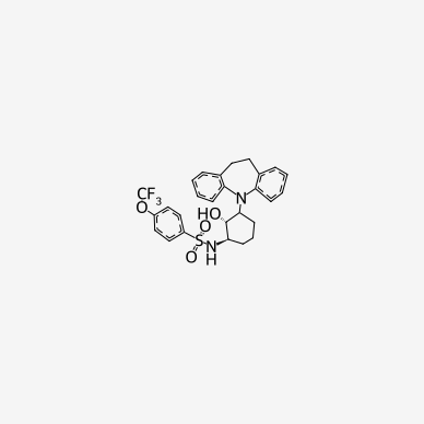 O=S(=O)(N[C@@H]1CCCC(N2c3ccccc3CCc3ccccc32)[C@H]1O)c1ccc(OC(F)(F)F)cc1